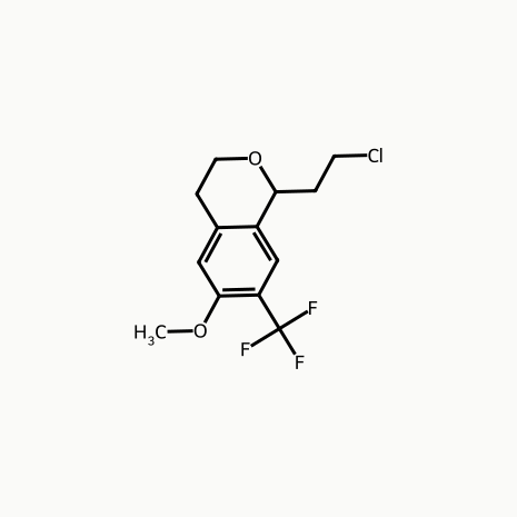 COc1cc2c(cc1C(F)(F)F)C(CCCl)OCC2